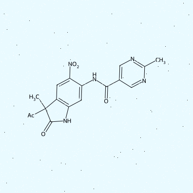 CC(=O)C1(C)C(=O)Nc2cc(NC(=O)c3cnc(C)nc3)c([N+](=O)[O-])cc21